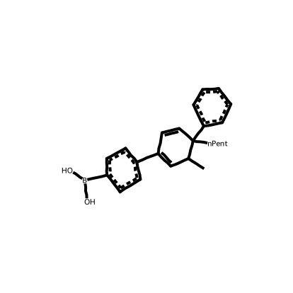 CCCCCC1(c2ccccc2)C=CC(c2ccc(B(O)O)cc2)=CC1C